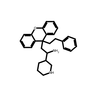 NC(CC1(CCc2ccccc2)c2ccccc2Oc2ccccc21)C1CCCNC1